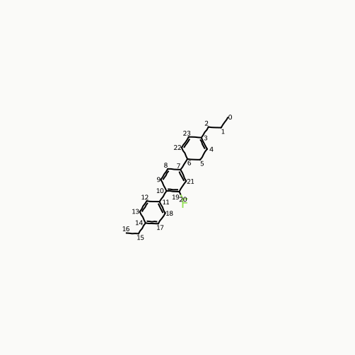 CCCC1=CCC(c2ccc(-c3ccc(CC)cc3)c(F)c2)C=C1